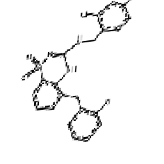 Cc1ccc(CNC2=NS(=O)(=O)c3cccc(Cc4ccccc4Cl)c3N2)c(Cl)c1